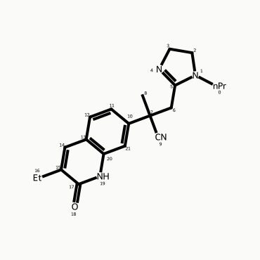 CCCN1CCN=C1CC(C)(C#N)c1ccc2cc(CC)c(=O)[nH]c2c1